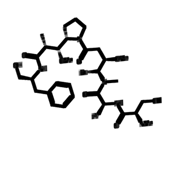 CC[C@H](C)[C@@H]([C@@H](CC(=O)N1CCC[C@H]1[C@H](OC)[C@@H](C)C(=O)N[C@H](CO)Cc1ccccc1)OC)N(C)C(=O)[C@@H](NC(=O)[C@@H](CO)NC)C(C)C